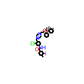 Cc1ccc(C(=O)Nc2ccc(CN3CCN(CCO[Si](c4ccccc4)(c4ccccc4)C(C)(C)C)CC3)c(Cl)c2)cc1I